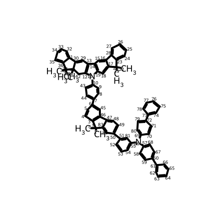 CC1(C)c2ccc(-c3ccc(-n4c5c(c6cc7c(cc64)C(C)(C)c4ccccc4-7)C=C4c6ccccc6C(C)(C)C4(C)C5)cc3)cc2-c2ccc(-c3cccc(N(c4ccc(-c5ccccc5)cc4)c4ccc(-c5ccccc5)cc4)c3)cc21